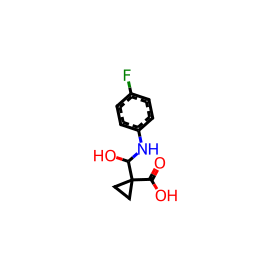 O=C(O)C1(C(O)Nc2ccc(F)cc2)CC1